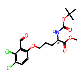 COC(=O)[C@@H](CCCOc1ccc(Cl)c(Cl)c1C=O)NC(=O)OC(C)(C)C